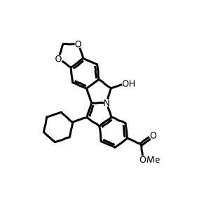 COC(=O)c1ccc2c(C3CCCCC3)c3n(c2c1)C(O)c1cc2c(cc1-3)OCO2